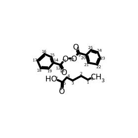 CCCCCC(=O)O.O=C(OOC(=O)c1ccccc1)c1ccccc1